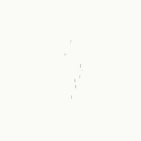 Cc1ccc(C2=CC=C(c3ccc(C)c(F)c3F)C(F)(F)C2(F)F)c(F)c1F